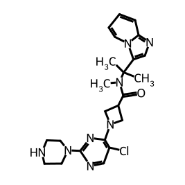 CN(C(=O)C1CN(c2nc(N3CCNCC3)ncc2Cl)C1)C(C)(C)c1cnc2ccccn12